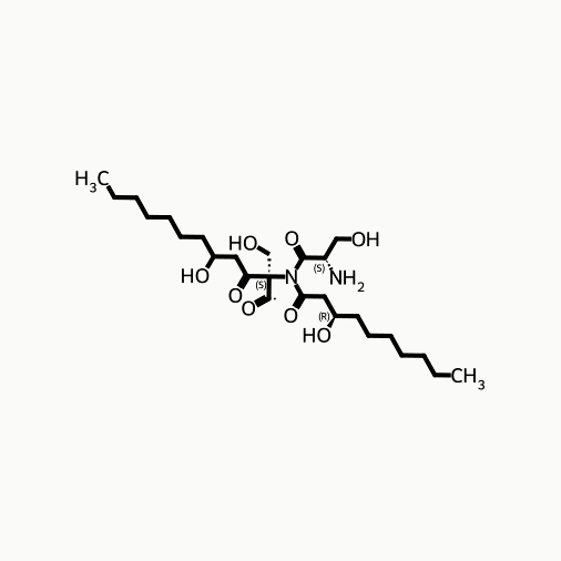 CCCCCCCC(O)CC(=O)[C@@]([C]=O)(CO)N(C(=O)C[C@H](O)CCCCCCC)C(=O)[C@@H](N)CO